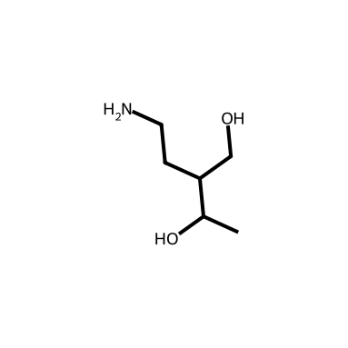 CC(O)C(CO)CCN